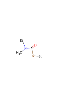 CCSC(=O)N(C)CC